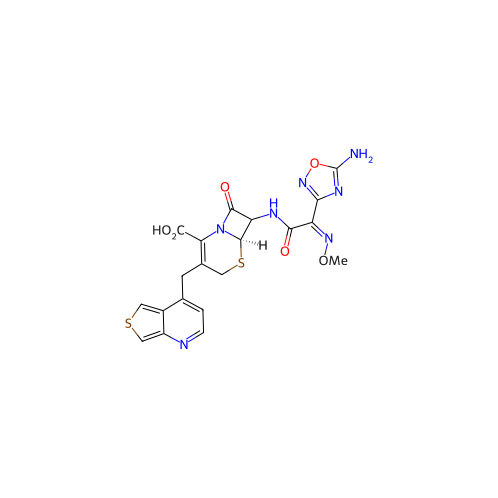 CO/N=C(\C(=O)NC1C(=O)N2C(C(=O)O)=C(Cc3ccnc4cscc34)CS[C@H]12)c1noc(N)n1